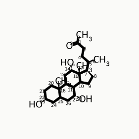 CC(=O)CC[C@@H](C)[C@H]1CCC2C3C(C[C@H](O)[C@@]21C)[C@@]1(C)CC[C@@H](O)CC1C[C@H]3O